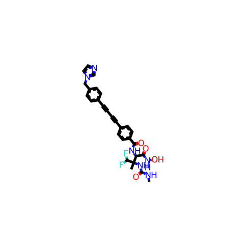 CNC(=O)NC(C)(C(F)F)C(NC(=O)c1ccc(C#CC#Cc2ccc(Cn3ccnc3)cc2)cc1)C(=O)NO